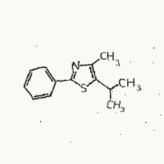 Cc1nc(-c2ccccc2)sc1C(C)C